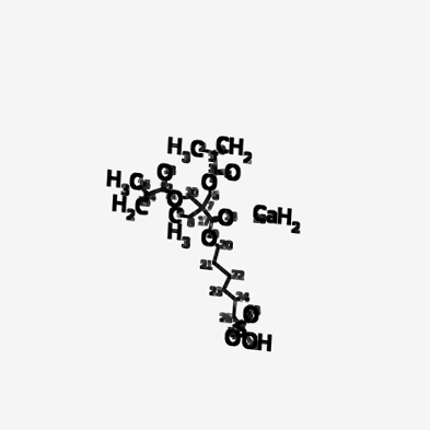 C=C(C)C(=O)OCC(CC)(COC(=O)C(=C)C)C(=O)OCCCCCCS(=O)(=O)O.[CaH2]